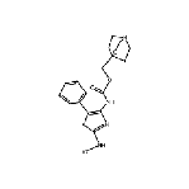 CCNc1nc(NC(=O)OCC23CCN(CC2)CC3)c(-c2ccccc2)s1